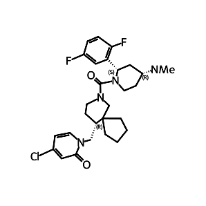 CN[C@@H]1CCN(C(=O)N2CC[C@@H](Cn3ccc(Cl)cc3=O)C3(CCCC3)C2)[C@H](c2cc(F)ccc2F)C1